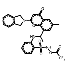 Cc1cc(C(C)Nc2ccccc2S(=O)(=O)NOC(=O)C(F)(F)F)c2oc(N3Cc4ccccc4C3)cc(=O)c2c1